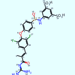 C/C(=C\c1cc(F)c(Oc2ccc([S+]([O-])Nc3cc(S(=O)(=O)O)cc(S(=O)(=O)O)c3)cc2)c(F)c1)C(=O)N=C(N)N